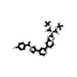 CC(c1ccc(F)cc1)n1cc(-c2ccnc(-c3ccn4nc(N(C(=O)OC(C)(C)C)C(=O)OC(C)(C)C)nc4c3)c2)cn1